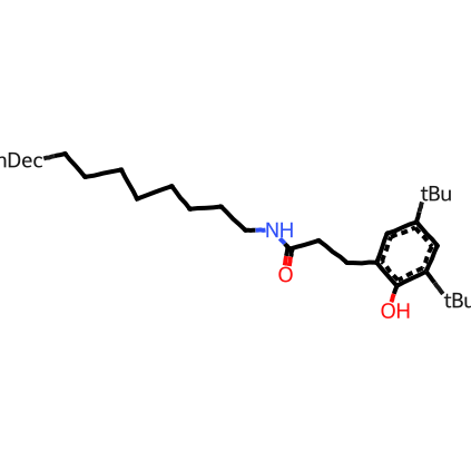 CCCCCCCCCCCCCCCCCCNC(=O)CCc1cc(C(C)(C)C)cc(C(C)(C)C)c1O